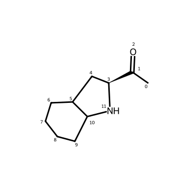 CC(=O)[C@@H]1CC2CCCCC2N1